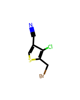 N#Cc1csc(CBr)c1Cl